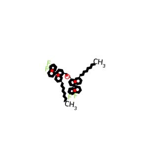 CCCCCCCCC[C@H]1CC[C@H](C2([C@]3(c4ccc(F)c(F)c4)C=C[C@H](COC[C@H]4C=C[C@@](c5ccc(F)c(F)c5)(C5([C@H]6CC[C@H](CCCCCCCCC)CC6)CCCCC5)C=C4)C=C3)CCCCC2)CC1